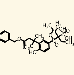 CCOP(=O)(c1ccc(O)c(C(C)(C)CC(=O)OCc2ccccc2)c1)C(CC)(CC)P(=O)(O)O